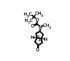 CN(C(=O)OC(C)(C)C)C1C[C@H]2CC(=O)C[C@H]2C1